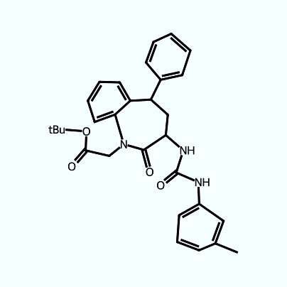 Cc1cccc(NC(=O)NC2CC(c3ccccc3)c3ccccc3N(CC(=O)OC(C)(C)C)C2=O)c1